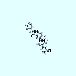 CC(Cc1ccc(C(=O)NCc2ccccc2)cc1)NC[C@H](O)c1cccc(Cl)c1